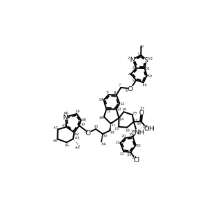 Cc1nc2cc(OCc3ccc4c(c3)C3(CCC(Nc5cccc(Cl)c5)(C(=O)O)CC3)[C@@H](C[C@@H](C)COc3ccnc5c3[C@H](C)CCC5)C4)ccc2s1